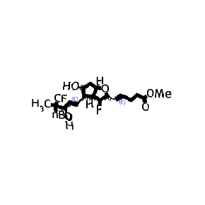 CCCCC(C)([C@H](O)/C=C/[C@@H]1[C@H]2C(F)[C@@H](/C=C/CCC(=O)OC)O[C@@H]2C[C@H]1O)C(F)(F)F